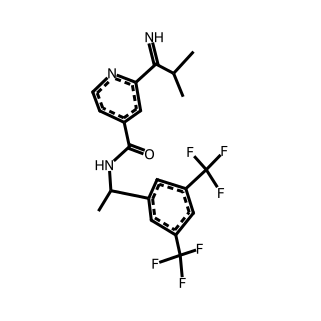 CC(C)C(=N)c1cc(C(=O)NC(C)c2cc(C(F)(F)F)cc(C(F)(F)F)c2)ccn1